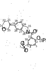 CC(C)Oc1ccc(S(C)(=O)=O)cc1C(=O)N1Cc2ccc(C3CCCOC3)cc2C1